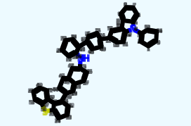 c1ccc(-n2c3ccccc3c3cc(-c4ccc(-c5ccccc5Nc5ccc6cc(-c7cccc8sc9ccccc9c78)ccc6c5)cc4)ccc32)cc1